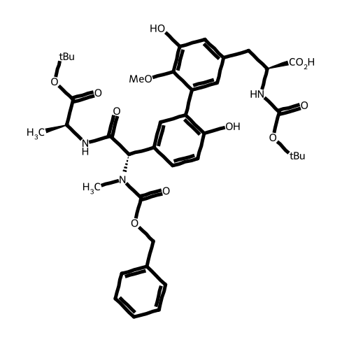 COc1c(O)cc(C[C@H](NC(=O)OC(C)(C)C)C(=O)O)cc1-c1cc([C@@H](C(=O)N[C@@H](C)C(=O)OC(C)(C)C)N(C)C(=O)OCc2ccccc2)ccc1O